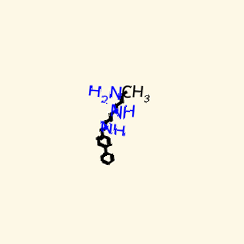 CC(N)CCNCCCNCc1ccc(-c2ccccc2)cc1